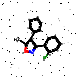 Cc1onc(-c2ccccc2Br)c1-c1ccccc1